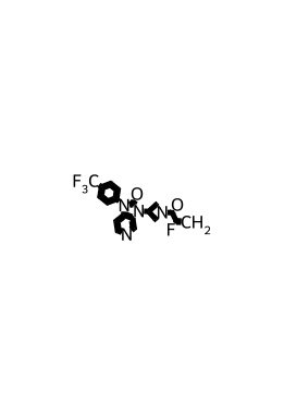 C=C(F)C(=O)N1CC(n2c(=O)n(-c3ccc(C(F)(F)F)cc3)c3ccncc32)C1